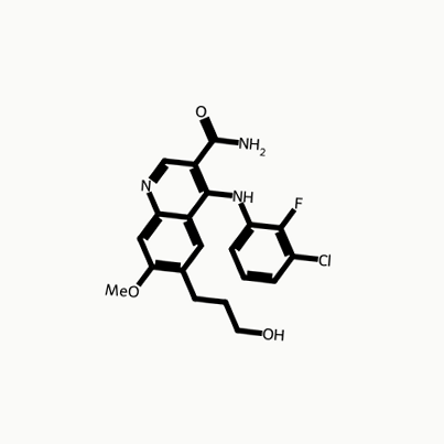 COc1cc2ncc(C(N)=O)c(Nc3cccc(Cl)c3F)c2cc1CCCO